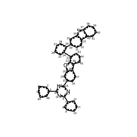 c1ccc(-c2nc(-c3ccccc3)nc(-c3ccc4c(c3)oc3c(-c5ccccc5-c5ccc6c(c5)sc5ccccc56)cccc34)n2)cc1